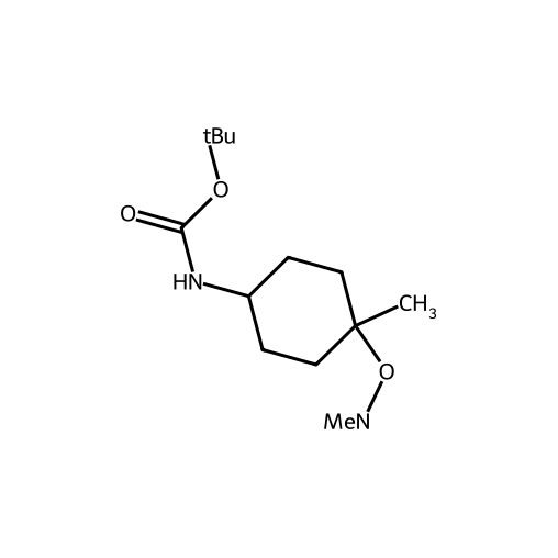 CNOC1(C)CCC(NC(=O)OC(C)(C)C)CC1